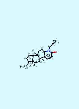 C=CCN1C(=O)C=C[C@@]2(C)C1CC[C@@H]1[C@H]2CC[C@]2(C)C(C(=O)O)CC[C@@H]12